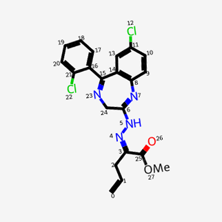 C=CCC(=NNC1=Nc2ccc(Cl)cc2C(c2ccccc2Cl)=NC1)C(=O)OC